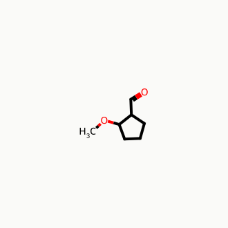 COC1CCCC1C=O